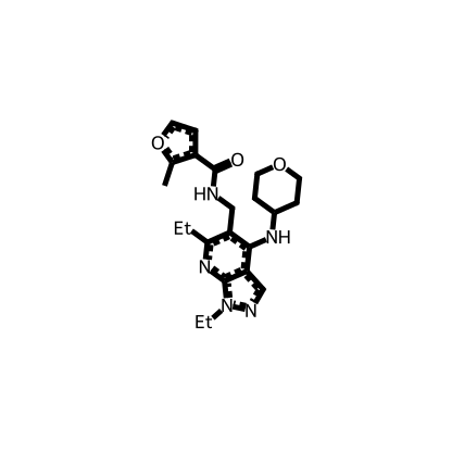 CCc1nc2c(cnn2CC)c(NC2CCOCC2)c1CNC(=O)c1ccoc1C